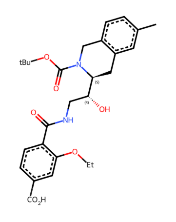 CCOc1cc(C(=O)O)ccc1C(=O)NC[C@@H](O)[C@@H]1Cc2cc(C)ccc2CN1C(=O)OC(C)(C)C